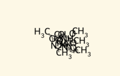 CCCO[C@@H](c1ncc(C)cn1)[C@H](C)S(=O)(=O)Nc1nnc([C@H]2CC[C@@H](C)O2)n1C(CCOC)OC